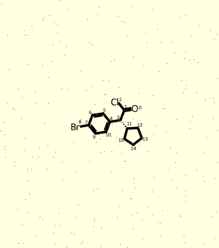 O=C(Cl)[C@@H](c1ccc(Br)cc1)C1CCCC1